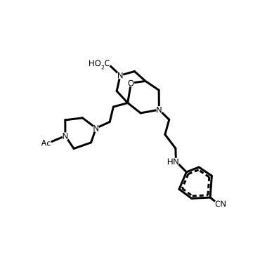 CC(=O)N1CCN(CCC23CN(CCCNc4ccc(C#N)cc4)CC(CN(C(=O)O)C2)O3)CC1